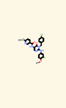 COc1ccc(C(=O)Nc2cnc(Nc3ccc(OC(C)C)c(F)c3)n(Cc3ccc(Cl)cc3)c2=O)cn1